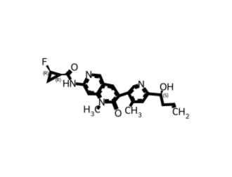 C=CC[C@H](O)c1cc(C)c(-c2cc3cnc(NC(=O)[C@H]4C[C@H]4F)cc3n(C)c2=O)cn1